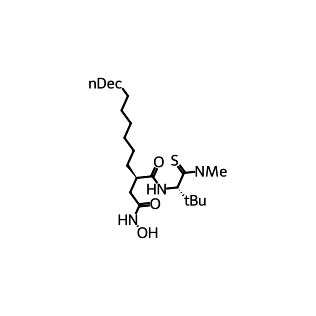 CCCCCCCCCCCCCCCC[C@H](CC(=O)NO)C(=O)N[C@H](C(=S)NC)C(C)(C)C